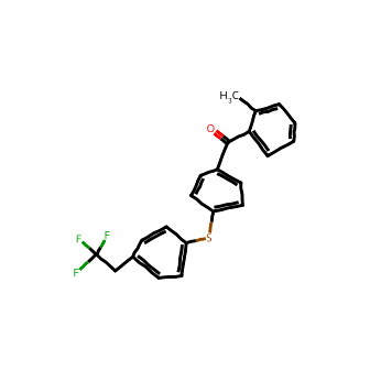 Cc1ccccc1C(=O)c1ccc(Sc2ccc(CC(F)(F)F)cc2)cc1